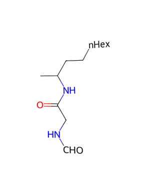 CCCCCCCCC(C)NC(=O)CNC=O